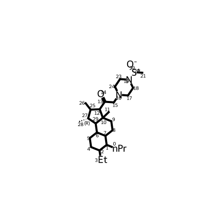 CCCC1C(CC)CCC2C1CCC1(C)C(C(=O)CN3CCN([S+](C)[O-])CC3)C(C)[C@@H](C)C21